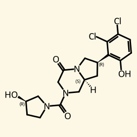 O=C(N1CC[C@@H](O)C1)N1CC(=O)N2C[C@@H](c3c(O)ccc(Cl)c3Cl)C[C@H]2C1